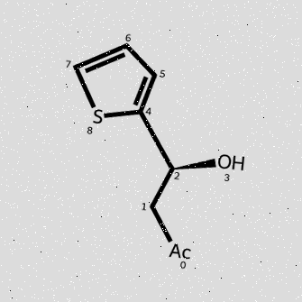 CC(=O)C[C@H](O)c1cccs1